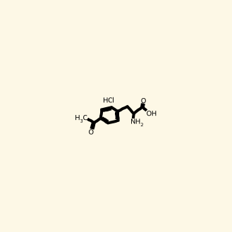 CC(=O)c1ccc(CC(N)C(=O)O)cc1.Cl